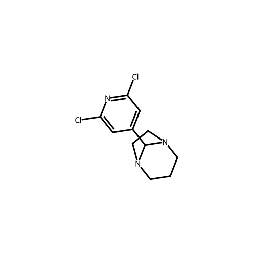 Clc1cc(C2N3CCCN2CC3)cc(Cl)n1